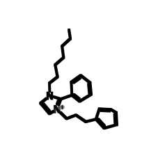 CCCCCCCn1cc[n+](CCCc2ccccc2)c1-c1ccccc1